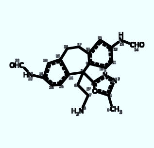 Cc1nnc(C2(CCN)c3ccc(NC=O)cc3CCc3cc(NC=O)ccc32)o1